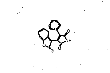 O=C1NC(=O)C(c2ccccc2)=C1C1=C2CC=CC=C2OC1=O